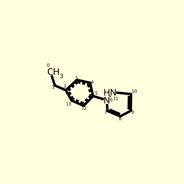 CCc1ccc(N2C=CC=CN2)cc1